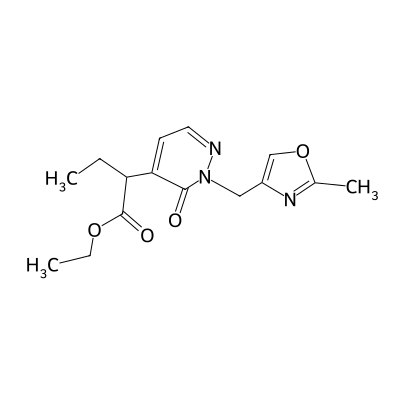 CCOC(=O)C(CC)c1ccnn(Cc2coc(C)n2)c1=O